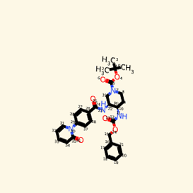 CC(C)(C)OC(=O)N1CC[C@@H](NC(=O)OCc2ccccc2)[C@@H](NC(=O)c2ccc(-n3ccccc3=O)cc2)C1